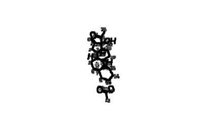 C=C1C[C@H]2[C@@H]3CC=C4C[C@@H](OC(C)=O)CC[C@]4(C)[C@H]3CC[C@]2(C)[C@@]1(O)C(C)=O